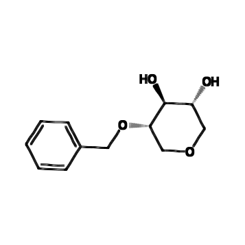 O[C@H]1[C@H](O)COC[C@@H]1OCc1ccccc1